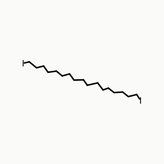 ICCCCCCCCCCCCCCCCCI